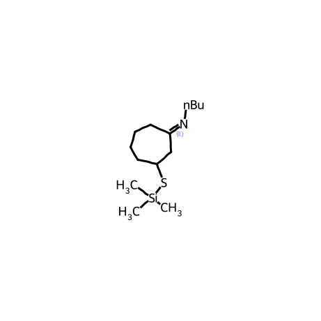 CCCC/N=C1\CCCCC(S[Si](C)(C)C)C1